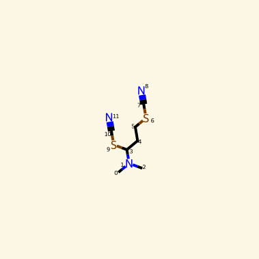 CN(C)C(CCSC#N)SC#N